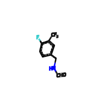 O=CNCc1ccc(F)c(C(F)(F)F)c1